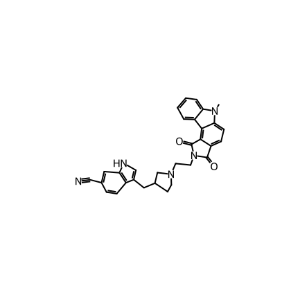 Cn1c2ccccc2c2c3c(ccc21)C(=O)N(CCN1CCC(Cc2c[nH]c4cc(C#N)ccc24)C1)C3=O